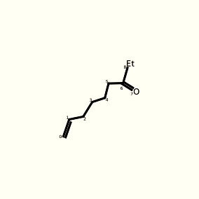 C=CCCCCC(=O)CC